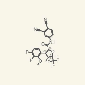 COc1c([C@H]2[C@H](C(=O)Nc3ccc(C#N)c(C#N)c3)O[C@@](C)(C(F)(F)F)[C@H]2C)ccc(F)c1F